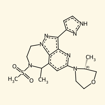 CC1c2cc(N3CCOC[C@H]3C)nc3c(-c4cc[nH]n4)nn(c23)CCN1S(C)(=O)=O